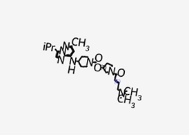 Cc1cc(NC2CCN(C(=O)O[C@H]3CCN(C(=O)/C=C/CN(C)C)C3)CC2)c2ncc(C(C)C)n2n1